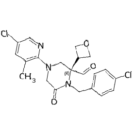 Cc1cc(Cl)cnc1N1CC(=O)N(Cc2ccc(Cl)cc2)[C@](C=O)(C2COC2)C1